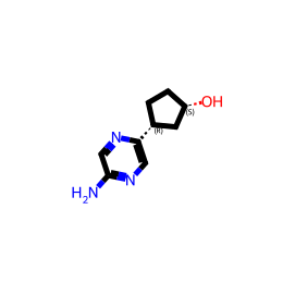 Nc1cnc([C@@H]2CC[C@H](O)C2)cn1